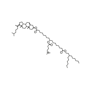 CCCCCCC(CCCCCC)CCOC(=O)CCCCCCCC(CCCCCCCC(=O)O[C@H]1CC[C@@]2(C)C(=CCC3C2CC[C@@]2(C)C3CC[C@@H]2[C@H](C)CCCC(C)C)C1)OC(=O)CCCN(C)C